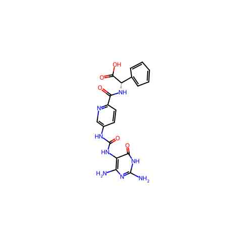 Nc1nc(N)c(NC(=O)Nc2ccc(C(=O)N[C@H](C(=O)O)c3ccccc3)nc2)c(=O)[nH]1